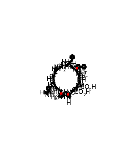 CCCCC[C@@H]1NC(=O)[C@H](CCc2cccc(NC(=N)N)c2)NC(=O)[C@H](C)NC(=O)CSC[C@@H](C(N)=O)NC(=O)[C@H](CC(=O)O)NC(=O)[C@H](CCCCc2ccccc2)NC(=O)[C@H](Cc2ccc(-c3ccccc3)cc2)NC(=O)[C@H](CC(C)C)NC(=O)[C@H](C(C)C)NC(=O)[C@H](CCC(=O)O)NC(=O)[C@H](CC(=O)O)CC(=O)[C@H](Cc2c[nH]cn2)NC(=O)[C@H](Cc2ccc(O)cc2)NC1=O